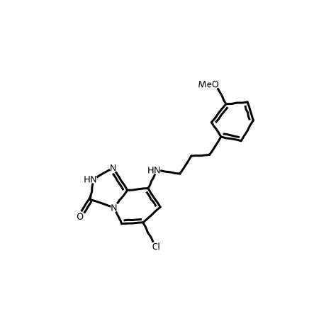 COc1cccc(CCCNc2cc(Cl)cn3c(=O)[nH]nc23)c1